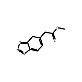 COC(=O)CC1=CC=C2N=NN=C2C1